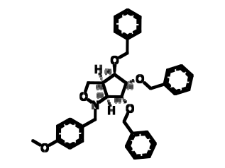 COc1ccc(CN2OC[C@H]3[C@@H](OCc4ccccc4)[C@H](OCc4ccccc4)[C@H](OCc4ccccc4)[C@H]32)cc1